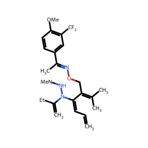 C=C/C=C(\C(CON=C(C)c1ccc(OC)c(C(F)(F)F)c1)=C(C)C)N(NNC)C(=C)CC